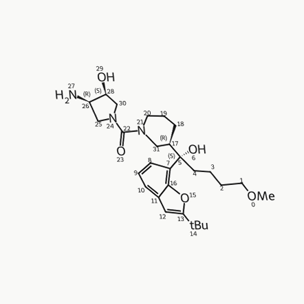 COCCCC[C@@](O)(c1cccc2cc(C(C)(C)C)oc12)[C@@H]1CCCN(C(=O)N2C[C@@H](N)[C@@H](O)C2)C1